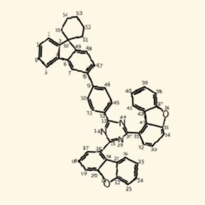 c1ccc2c(c1)-c1cc(-c3ccc(-c4nc(-c5cccc6oc7ccccc7c56)nc(-c5cccc6oc7ccccc7c56)n4)cc3)ccc1C21CCCCC1